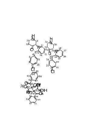 Clc1ccc([C@H](OC2CCNCC2)c2ccccn2)cc1.Clc1ccc([C@H](OC2CCNCC2)c2ccccn2)cc1.O=C(O)C(O)(C(=O)c1ccccc1)C(O)(C(=O)O)C(=O)c1ccccc1